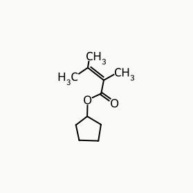 CC(C)=C(C)C(=O)OC1CCCC1